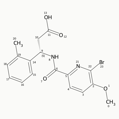 COc1ccc(C(=O)N[C@@H](CC(=O)O)c2ccccc2C)nc1Br